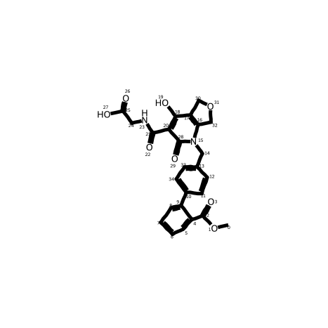 COC(=O)c1ccccc1-c1ccc(Cn2c3c(c(O)c(C(=O)NCC(=O)O)c2=O)COC3)cc1